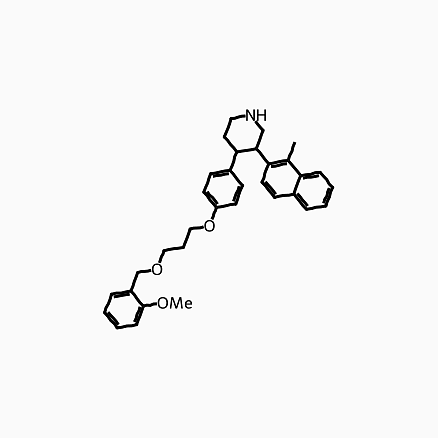 COc1ccccc1COCCCOc1ccc(C2CCNCC2c2ccc3ccccc3c2C)cc1